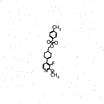 COc1nccc(C2=CCC(COS(=O)(=O)c3ccc(C)cc3)CC2)c1F